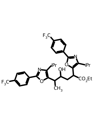 CCOC(=O)C(CC(O)C(C)c1oc(-c2ccc(C(F)(F)F)cc2)nc1C(C)C)c1oc(-c2ccc(C(F)(F)F)cc2)nc1C(C)C